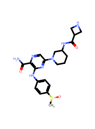 C[S+]([O-])c1ccc(Nc2nc(N3CCCC(NC(=O)C4CNC4)C3)cnc2C(N)=O)cc1